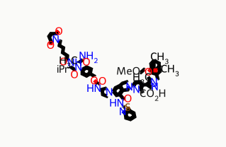 COCCOC12CC3(C)CC(C)(CC(Cn4ncc(-c5ccc(N6CCc7cc(N8CC[C@H](NC(=O)OCc9ccc(N(C(=O)[C@@H](NC(=O)CCCCCN%10C(=O)C=CC%10=O)C(C)C)[C@@H](C)C(N)=O)cc9)C8)cc(C(=O)Nc8nc9ccccc9s8)c7C6)nc5C(=O)O)c4C)(C3)C1)C2